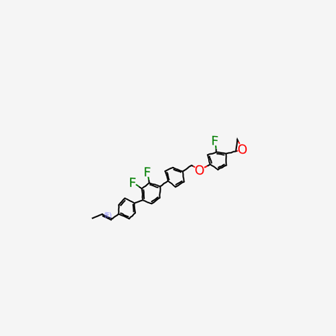 C/C=C/c1ccc(-c2ccc(-c3ccc(COc4ccc(C5CO5)c(F)c4)cc3)c(F)c2F)cc1